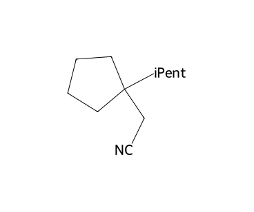 CCCC(C)C1(CC#N)CCCC1